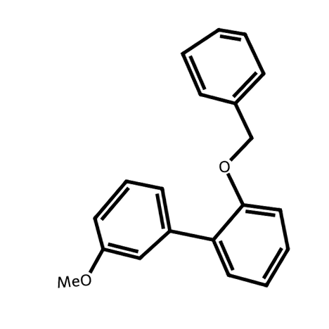 COc1cccc(-c2ccccc2OCc2ccccc2)c1